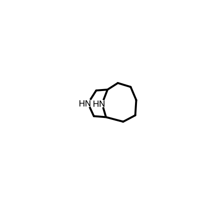 C1CCC2CNCC(CC1)N2